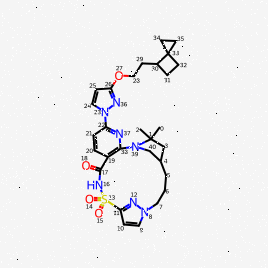 CC1(C)CC2CCCn3ccc(n3)S(=O)(=O)NC(=O)c3ccc(-n4ccc(OCCC5CCC56CC6)n4)nc3N1C2